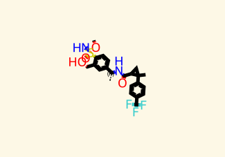 COS(=N)(=O)c1ccc([C@@H](C)NC(=O)C2CC2(C)c2ccc(C(F)(F)F)cc2)cc1CO